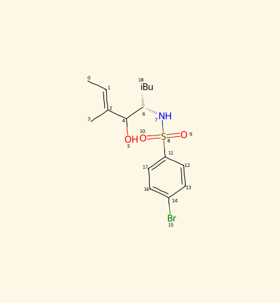 CC=C(C)C(O)[C@@H](NS(=O)(=O)c1ccc(Br)cc1)[C@@H](C)CC